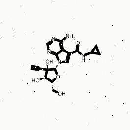 C#C[C@@]1(O)[C@H](O)[C@@H](CO)O[C@H]1n1cc(C(=O)NC2CC2)c2c(N)ncnc21